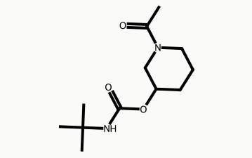 CC(=O)N1CCCC(OC(=O)NC(C)(C)C)C1